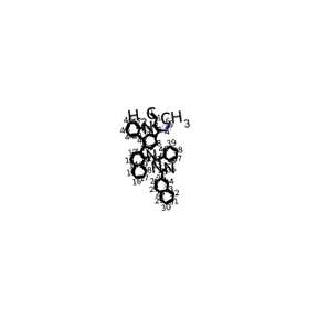 C=Cc1c(/C=C\C)c2cc3c(c4ccc5ccccc5c4n3-c3nc(-c4ccc5ccccc5c4)nc4ccccc34)c3c4ccccc4n1c23